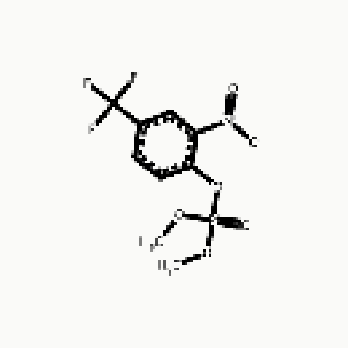 COP(=O)(OC)Oc1ccc(C(F)(F)F)cc1[N+](=O)[O-]